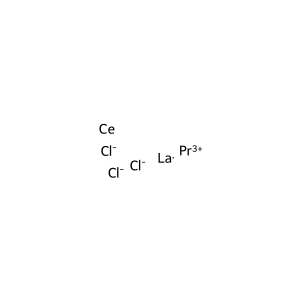 [Ce].[Cl-].[Cl-].[Cl-].[La].[Pr+3]